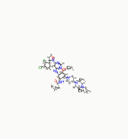 C=CC(=O)Nc1cc(Nc2cc(N3OCC[C@@H]3c3cccc(Cl)c3F)ncn2)c(OC)cc1N1CCC(N2C[C@@H](C)N(C3CC3)C[C@H]2C)CC1